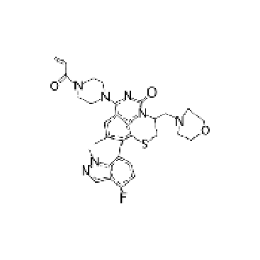 C=CC(=O)N1CCN(c2nc(=O)n3c4c(c(-c5ccc(F)c6cnn(C)c56)c(C)cc24)SCC3CN2CCOCC2)CC1